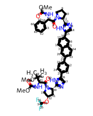 COC(=O)N[C@H](C(=O)N1CCC[C@H]1c1ncc(-c2ccc3cc(-c4ccc(-c5cnc([C@@H]6C[C@H](OC(F)F)CN6C(=O)[C@@H](NC(=O)OC)C(C)(C)OC)[nH]5)cc4)ccc3c2)[nH]1)c1ccccc1